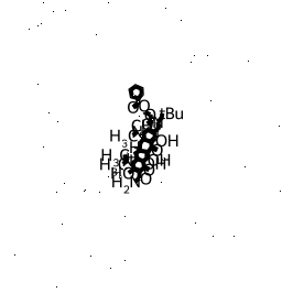 CN(C)c1cc(CN(CC(C)(C)C)C(=O)OCOC(=O)C2CCCCC2)c(O)c2c1C[C@H]1C[C@H]3[C@H](N(C)C)C(O)=C(C(N)=O)C(=O)[C@@]3(O)C(O)=C1C2=O